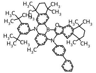 Cc1cc2c3c(c1)N(c1ccc(-c4ccccc4)cc1)c1c(oc4cc5c(cc14)C(C)(C)CCC5(C)C)B3c1cc3c(cc1N2c1cc(C(C)(C)C)cc(C(C)(C)C)c1)C(C)(C)CCC3(C)C